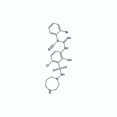 N#CN(C(=N)Nc1ccc(Cl)c(S(=O)(=O)NN2CCCNCC2)c1O)c1ccccc1Br